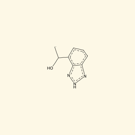 [CH2]C(O)c1cccc2n[nH]nc12